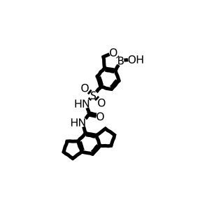 O=C(Nc1c2c(cc3c1CCC3)CCC2)NS(=O)(=O)c1ccc2c(c1)COB2O